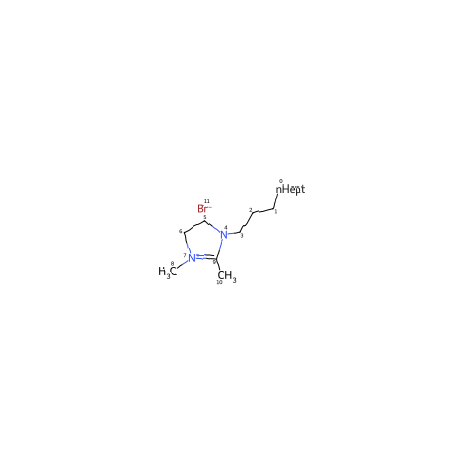 CCCCCCCCCCN1CC[N+](C)=C1C.[Br-]